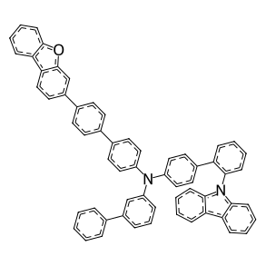 c1ccc(-c2cccc(N(c3ccc(-c4ccc(-c5ccc6c(c5)oc5ccccc56)cc4)cc3)c3ccc(-c4ccccc4-n4c5ccccc5c5ccccc54)cc3)c2)cc1